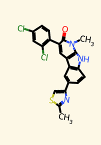 Cc1nc(-c2ccc3[nH]c4c(cc(-c5ccc(Cl)cc5Cl)c(=O)n4C)c3c2)cs1